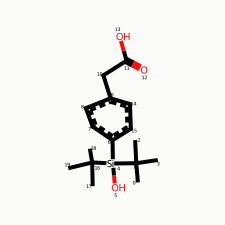 CC(C)(C)[Si](O)(c1ccc(CC(=O)O)cc1)C(C)(C)C